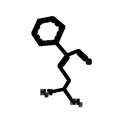 NC(N)CC=C(C=O)c1ccccc1